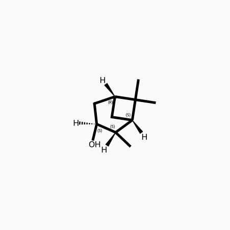 C[C@@H]1[C@@H](O)C[C@H]2C[C@@H]1C2(C)C